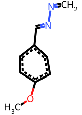 C=NN=Cc1ccc(OC)cc1